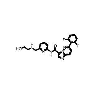 O=C(Nc1cccc(CNCCO)n1)c1cnc2ccc(-c3c(F)cccc3F)nn12